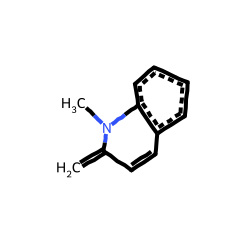 C=C1C=Cc2ccccc2N1C